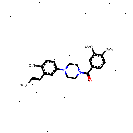 COc1ccc(C(=O)N2CCN(c3ccc([N+](=O)[O-])c(/C=C/C(=O)O)c3)CC2)cc1OC